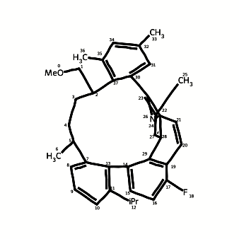 COCC1CCC(C)c2cccc(C(C)C)c2-c2ccc(F)c3ccc4c([n+](C)ccc4c23)-c2cc(C)cc(C)c21